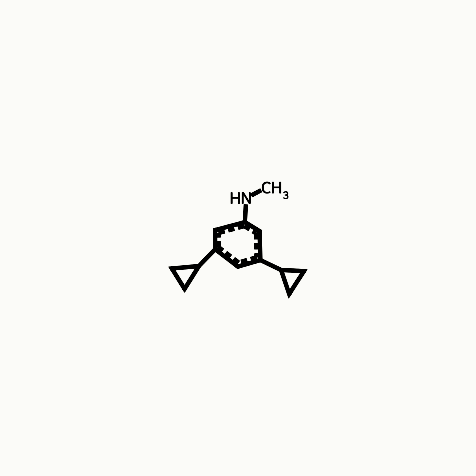 CNc1cc(C2CC2)cc(C2CC2)c1